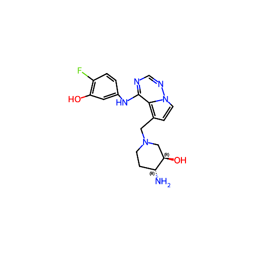 N[C@@H]1CCN(Cc2ccn3ncnc(Nc4ccc(F)c(O)c4)c23)C[C@H]1O